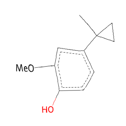 COc1cc(C2(C)CC2)ccc1O